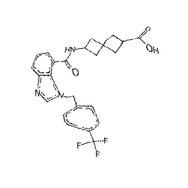 O=C(NC1CC2(C1)CC(C(=O)O)C2)c1cccc2ncn(Cc3ccc(C(F)(F)F)cc3)c12